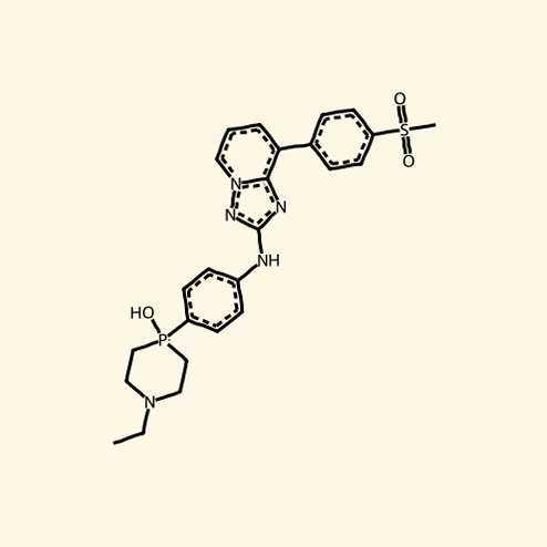 CCN1CC[P](O)(c2ccc(Nc3nc4c(-c5ccc(S(C)(=O)=O)cc5)cccn4n3)cc2)CC1